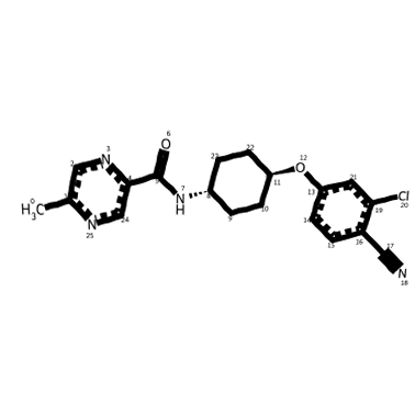 Cc1cnc(C(=O)N[C@H]2CC[C@H](Oc3ccc(C#N)c(Cl)c3)CC2)cn1